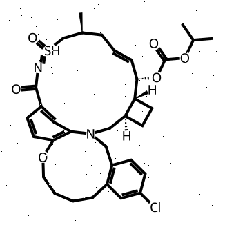 CC(C)OC(=O)O[C@H]1/C=C/C[C@H](C)C/[SH](=O)=N\C(=O)c2ccc3c(c2)N(Cc2ccc(Cl)cc2CCCCO3)C[C@@H]2CC[C@H]21